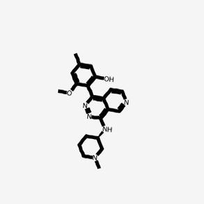 COc1cc(C)cc(O)c1-c1nnc(N[C@@H]2CCCN(C)C2)c2cnccc12